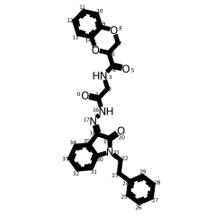 O=C(CNC(=O)C1COc2ccccc2O1)N/N=C1\C(=O)N(CCc2ccccc2)c2ccccc21